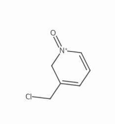 O=[N+]1C=CC=C(CCl)C1